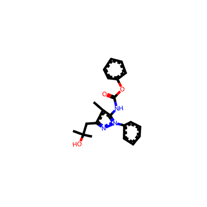 Cc1c(CC(C)(C)O)nn(-c2ccccc2)c1NC(=O)Oc1ccccc1